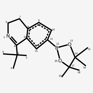 CC(C)(C)C1=NCCc2ccc(B3OC(C)(C)C(C)(C)O3)cc21